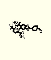 CC(C)(O)c1cc2nc(C3CCC(C=O)CC3)sc2cc1N1NC(C(F)(F)F)=CC=C1C(N)=O